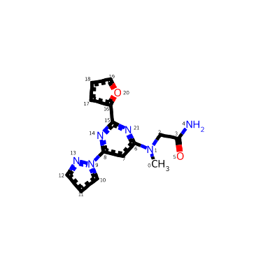 CN(CC(N)=O)c1cc(-n2cccn2)nc(-c2ccco2)n1